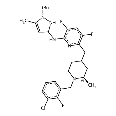 CC1=CC(Nc2nc(CC3CCN(Cc4cccc(Cl)c4F)[C@H](C)C3)c(F)cc2F)NN1C(C)(C)C